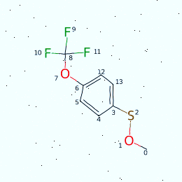 COSc1ccc(OC(F)(F)F)cc1